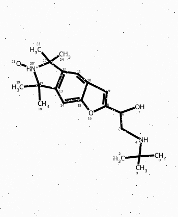 CC(C)(C)NCC(O)c1cc2cc3c(cc2o1)C(C)(C)[NH+]([O-])C3(C)C